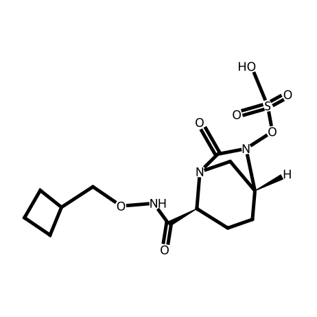 O=C(NOCC1CCC1)[C@@H]1CC[C@@H]2CN1C(=O)N2OS(=O)(=O)O